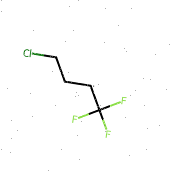 FC(F)(F)[CH]CCCl